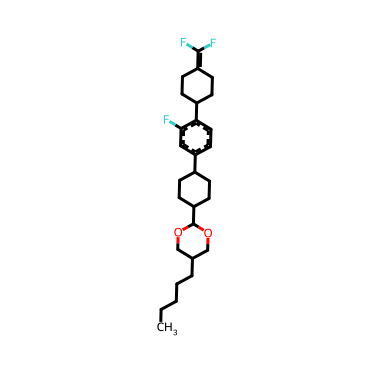 CCCCCC1COC(C2CCC(c3ccc(C4CCC(=C(F)F)CC4)c(F)c3)CC2)OC1